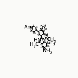 CC(=O)N1CC=C(c2cc3c(N[C@H](C)c4cc(N)cc(C(F)(F)F)c4)nc(C)nc3c3c2OCC3)CC1